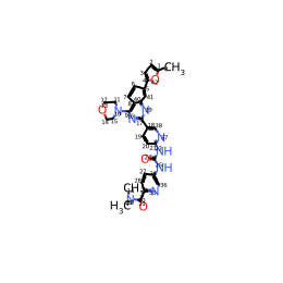 Cc1ccc(-c2ccc3c(N4CCOCC4)nc(-c4ccc(NC(=O)Nc5ccc(C(=O)N(C)C)nc5)nc4)nc3c2)o1